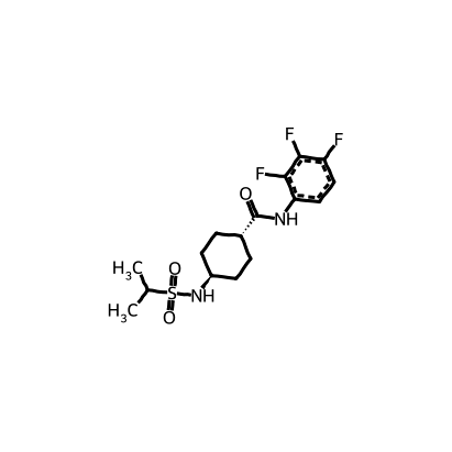 CC(C)S(=O)(=O)N[C@H]1CC[C@H](C(=O)Nc2ccc(F)c(F)c2F)CC1